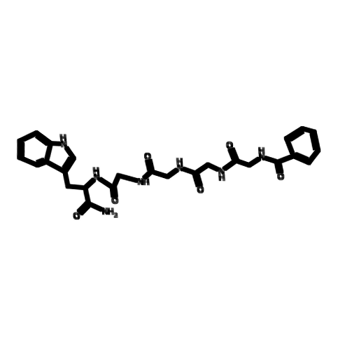 NC(=O)C(Cc1c[nH]c2ccccc12)NC(=O)CNC(=O)CNC(=O)CNC(=O)CNC(=O)c1ccccc1